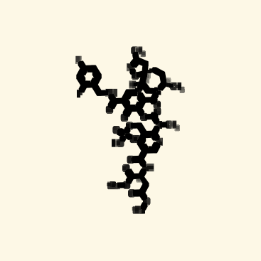 CC1=NO[C@@]2(CC[C@H](C)N3C[C@H]2n2cc(C(=O)NCc4ccc(F)cc4F)c(=O)c(OC(=O)N(C)c4ncc(C(=O)N[C@@H](CC(=O)OC(C)(C)C)C(=O)OC(C)(C)C)cc4COP(=O)(O)O)c2C3=O)C1